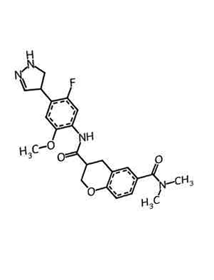 COc1cc(C2C=NNC2)c(F)cc1NC(=O)C1COc2ccc(C(=O)N(C)C)cc2C1